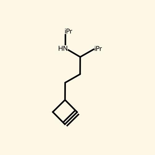 CC(C)NC(CCC1C#CC1)C(C)C